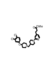 COC(=O)CCc1ccnc(N2CCC(CN3CCC(Oc4ccc(Cl)c(Cl)c4)CC3)CC2)c1